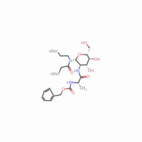 CCCCCCCCCCCCN(C(=O)CCCCCCCCCCC)[C@@H]1O[C@H](CO)[C@@H](O)[C@H](O)[C@H]1NC(=O)[C@H](C)NC(=O)OCc1ccccc1